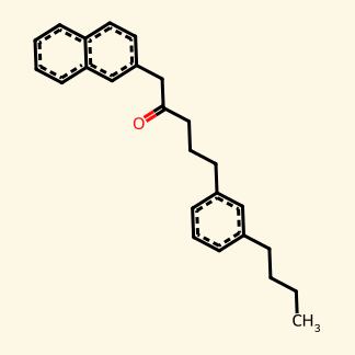 CCCCc1cccc(CCCC(=O)Cc2ccc3ccccc3c2)c1